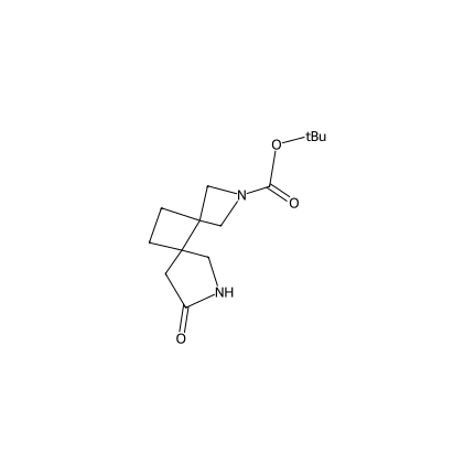 CC(C)(C)OC(=O)N1CC2(CCC23CNC(=O)C3)C1